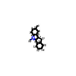 Cc1ccc2c(c1)c1c(n2C)-c2ccc[c]c2C1